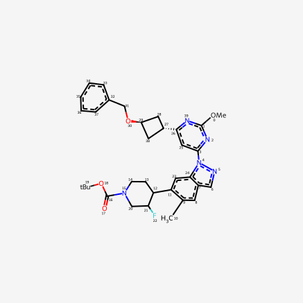 COc1nc(-n2ncc3cc(C)c(C4CCN(C(=O)OC(C)(C)C)CC4F)cc32)cc([C@H]2C[C@H](OCc3ccccc3)C2)n1